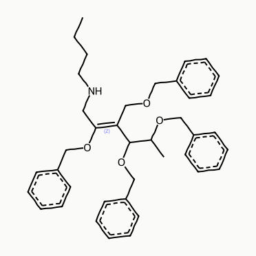 CCCCNC/C(OCc1ccccc1)=C(\COCc1ccccc1)C(OCc1ccccc1)C(C)OCc1ccccc1